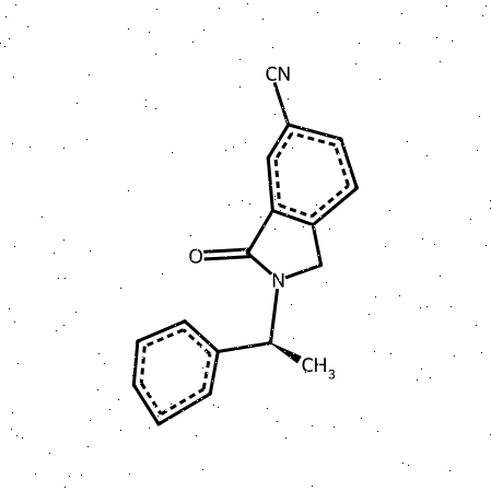 C[C@@H](c1ccccc1)N1Cc2ccc(C#N)cc2C1=O